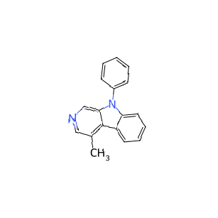 Cc1cncc2c1c1ccccc1n2-c1ccccc1